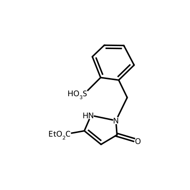 CCOC(=O)c1cc(=O)n(Cc2ccccc2S(=O)(=O)O)[nH]1